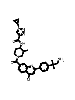 CC1CN(C(=O)c2ccc3c(Cl)cc(-c4ccc(C(C)(C)CN)cc4)nc3c2)CCC1NC(=O)c1cn(C2CC2)nn1